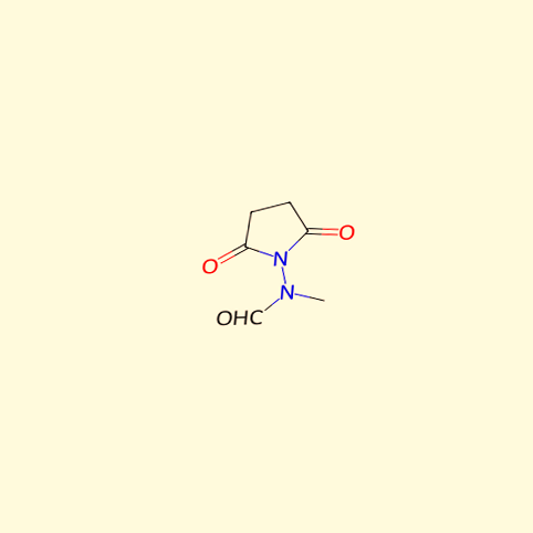 CN(C=O)N1C(=O)CCC1=O